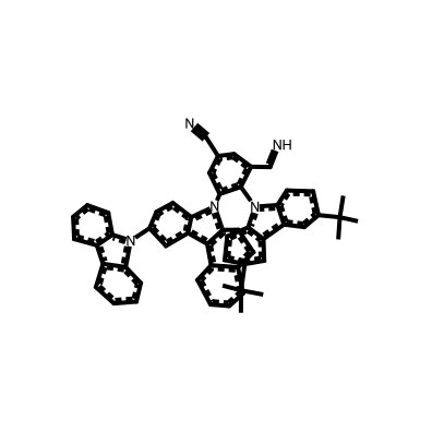 CC(C)(C)c1ccc2c(c1)c1cc(C(C)(C)C)ccc1n2-c1c(C=N)cc(C#N)cc1-n1c2ccc(-n3c4ccccc4c4ccccc43)cc2c2c3ccccc3ccc21